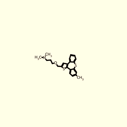 Cc1ccc2c(c1)Sc1ccccc1-c1cc(COCCCN(C)C)sc1-2